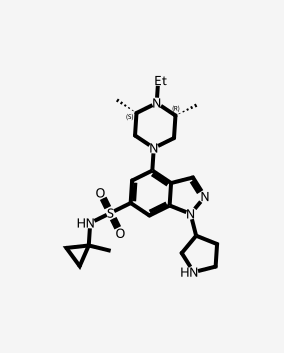 CCN1[C@H](C)CN(c2cc(S(=O)(=O)NC3(C)CC3)cc3c2cnn3C2CCNC2)C[C@@H]1C